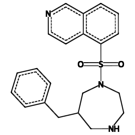 O=S(=O)(c1cccc2cnccc12)N1CCNCC(Cc2ccccc2)C1